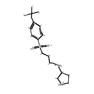 CC(C)(C)c1ccc(S(=O)(=O)CCCNC2CCNC2)cc1